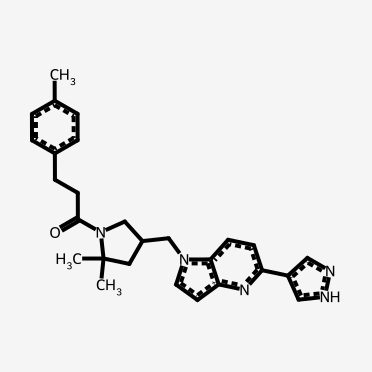 Cc1ccc(CCC(=O)N2CC(Cn3ccc4nc(-c5cn[nH]c5)ccc43)CC2(C)C)cc1